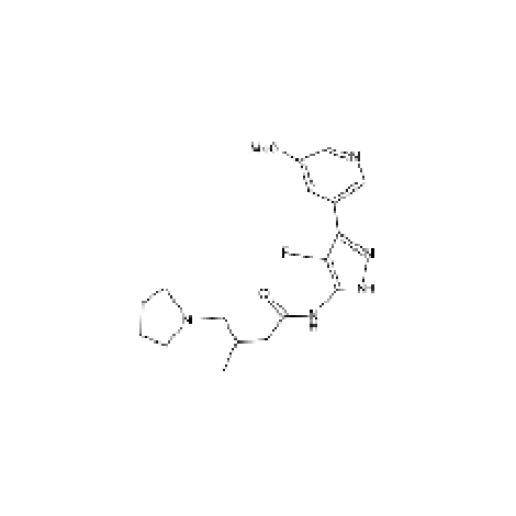 COc1cncc(-c2n[nH]c(NC(=O)CC(C)CN3CCCC3)c2F)c1